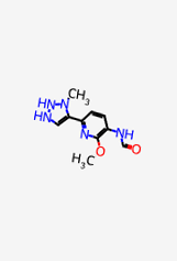 COc1nc(C2=CNNN2C)ccc1NC=O